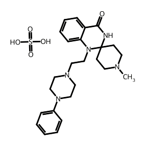 CN1CCC2(CC1)NC(=O)c1ccccc1N2CCN1CCN(c2ccccc2)CC1.O=S(=O)(O)O